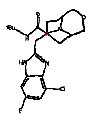 CC(C)(C)NC(=O)CN1C2COCC1CN(Cc1nc3c(Cl)cc(F)cc3[nH]1)C2